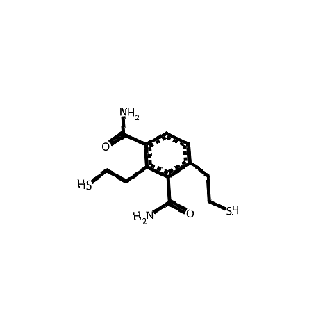 NC(=O)c1ccc(CCS)c(C(N)=O)c1CCS